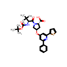 CC(C)(C)OC(=O)N[C@H](C(=O)N1C[C@H](Oc2cc(-c3ccccc3)nc(-c3cccs3)c2)C[C@H]1C(=O)O)C(C)(C)C